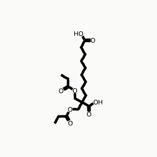 CCC(=O)OCC(CCCCCCCCC(=O)O)(COC(=O)CC)C(=O)O